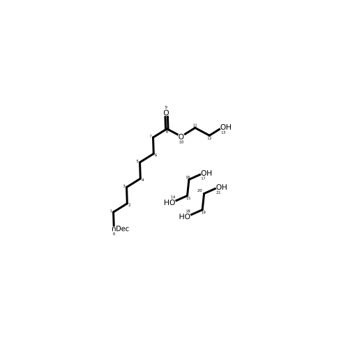 CCCCCCCCCCCCCCCCCC(=O)OCCO.OCCO.OCCO